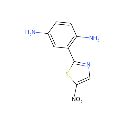 Nc1ccc(N)c(-c2ncc([N+](=O)[O-])s2)c1